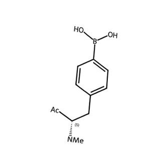 CN[C@@H](Cc1ccc(B(O)O)cc1)C(C)=O